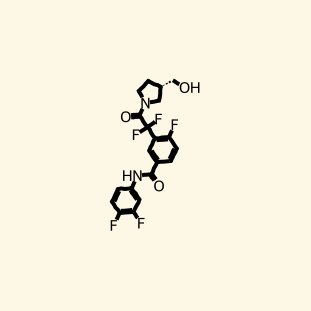 O=C(Nc1ccc(F)c(F)c1)c1ccc(F)c(C(F)(F)C(=O)N2CC[C@H](CO)C2)c1